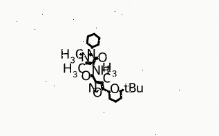 Cc1c(C(=O)Nc2c(C)n(C)n(C3CCCCC3)c2=O)noc1C1CCCC(C(C)(C)C)O1